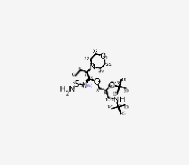 CCC(/C(=N\SN)OC[C@H](CNC(C)(C)C)OC(C)(C)C)N1CCOCC1